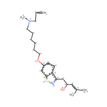 C=CCN(C)CCCCCCOc1ccc2c(CC(O)C=C(C)C)nsc2c1